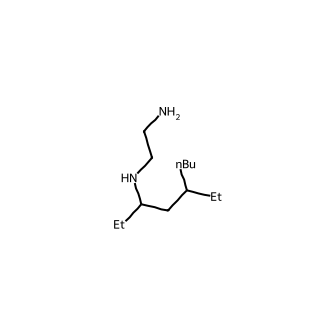 [CH2]CC(CC(CC)CCCC)NCCN